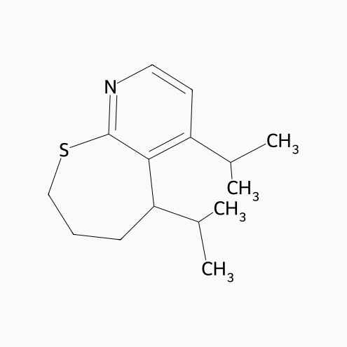 CC(C)c1ccnc2c1C(C(C)C)CCCS2